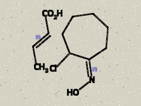 C/C=C/C(=O)O.O/N=C1/CCCCCC1Cl